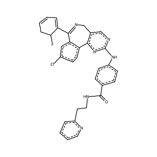 O=C(NCCc1ccccn1)c1ccc(Nc2ncc3c(n2)-c2ccc(Cl)cc2C(C2=CC=CCC2F)=NC3)cc1